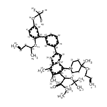 C=CCOC1(C)CCN(c2c(C(OC(C)(C)C)C(=O)OC)c(C)c(C)c3nc(-c4cccc(-c5cc(OC(F)(F)F)ccc5OC(C)CC=C)c4)cn23)CC1